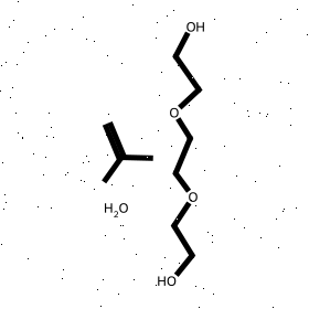 C=C(C)C.O.OCCOCCOCCO